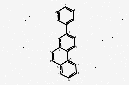 [c]1ccc(-c2ccc3c(ccc4ccccc43)c2)cc1